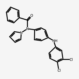 O=C(c1ccccc1)N(c1ccc(Nc2ccc(Cl)c(Cl)c2)cc1)n1cccc1